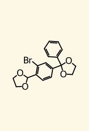 Brc1cc(C2(c3ccccc3)OCCO2)ccc1C1OCCO1